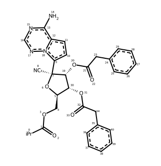 CC(C)C(=O)OC[C@H]1O[C@@](C#N)(c2ccc3c(N)ncnn23)[C@H](OC(=O)Cc2ccccc2)[C@@H]1OC(=O)Cc1ccccc1